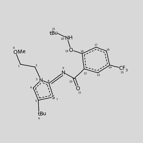 COCCn1cc(C(C)(C)C)sc1=NC(=O)c1cc(C(F)(F)F)ccc1ONC(C)(C)C